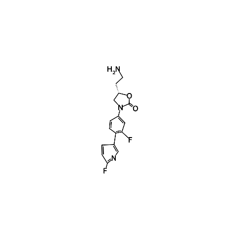 NCC[C@H]1CN(c2ccc(-c3ccc(F)nc3)c(F)c2)C(=O)O1